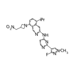 CC(C)c1ccc(N2CC(C[N+](=O)[O-])C2)c2cnc(Nc3ccnc(-c4cn(C)nc4F)n3)cc12